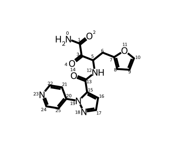 NC(=O)C(=O)C(Cc1ccco1)NC(=O)c1ccnn1-c1ccncc1